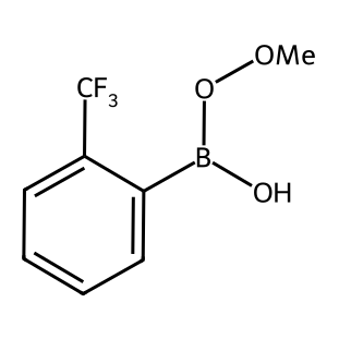 COOB(O)c1ccccc1C(F)(F)F